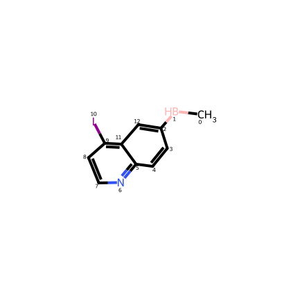 CBc1ccc2nccc(I)c2c1